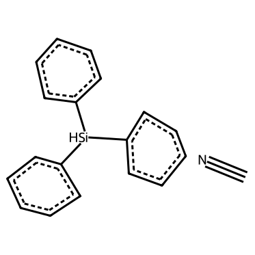 C#N.c1ccc([SiH](c2ccccc2)c2ccccc2)cc1